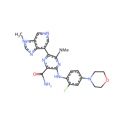 CNc1nc(Nc2ccc(N3CCOCC3)cc2F)c(C(N)=O)nc1-c1cncc2c1ncn2C